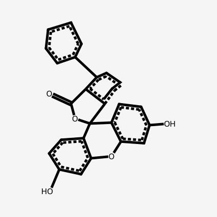 O=C1OC2(c3ccc(O)cc3Oc3cc(O)ccc32)c2cccc(-c3ccccc3)c21